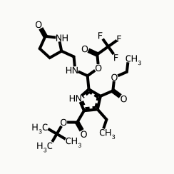 CCOC(=O)c1c(C(NCC2CCC(=O)N2)OC(=O)C(F)(F)F)[nH]c(C(=O)OC(C)(C)C)c1CC